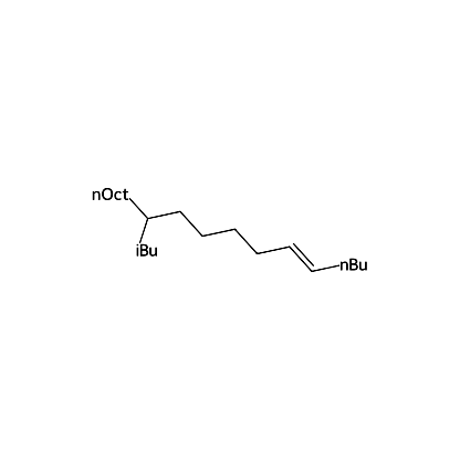 [CH2]CCCC=CCCCCC(CCCCCCC[CH2])C(C)CC